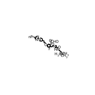 CCCc1cnc(N2CCC(CCCOc3cc(F)c(CC(=O)N4CC(C(=O)NCCC[N+](C)(C)C)C4)c(F)c3)CC2)nc1.O=C[O-]